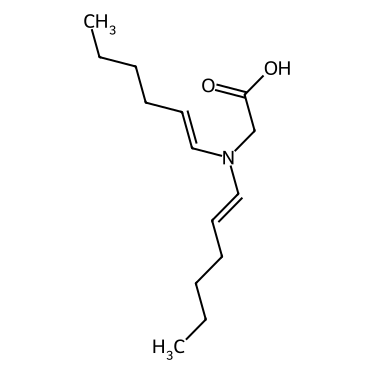 CCCC/C=C/N(/C=C/CCCC)CC(=O)O